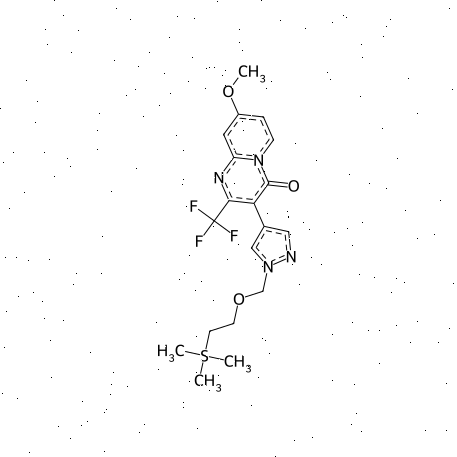 COc1ccn2c(=O)c(-c3cnn(COCCS(C)(C)C)c3)c(C(F)(F)F)nc2c1